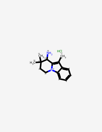 Cc1c2n(c3ccccc13)CCC(C)(C)C2N.Cl